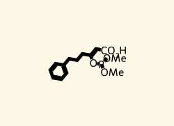 COP(OC)O/C(=C\C(=O)O)CCCc1ccccc1